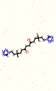 CC(C)(CCC(=O)CCC(=O)CCC(C)(C)CCn1cnnn1)CCn1cnnn1